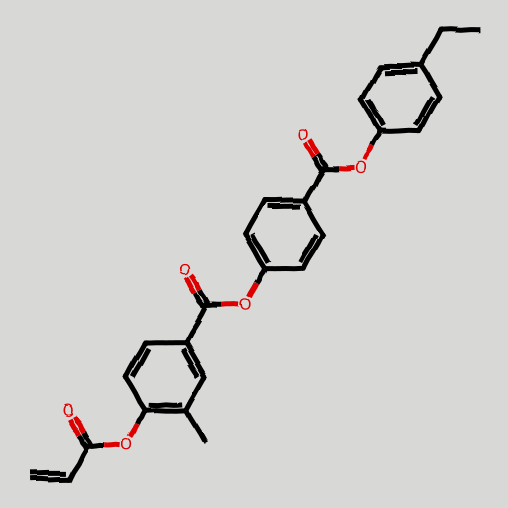 C=CC(=O)Oc1ccc(C(=O)Oc2ccc(C(=O)Oc3ccc(CC)cc3)cc2)cc1C